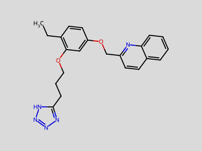 CCc1ccc(OCc2ccc3ccccc3n2)cc1OCCCc1nnn[nH]1